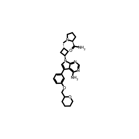 NC(=O)[C@@H]1CCCN1C[C@H]1C[C@H](n2cc(-c3cccc(OCC4CCCCO4)c3)c3c(N)ncnc32)C1